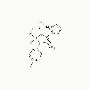 CCC(c1ccc(Cl)cc1)C1(C)OCC(C)(C)N1C(=O)n1ccnc1